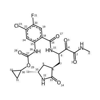 CNC(=O)C(=O)C(C[C@@H]1C[C@@H](C)NC1=O)NC(=O)c1cc(F)c(Cl)cc1NC(=O)OC1CC1